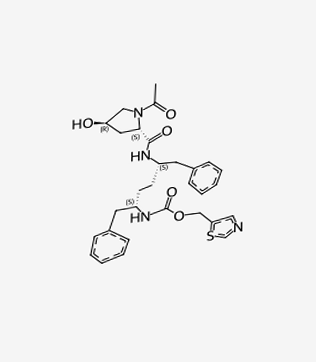 CC(=O)N1C[C@H](O)C[C@H]1C(=O)N[C@@H](CC[C@@H](Cc1ccccc1)NC(=O)OCc1cncs1)Cc1ccccc1